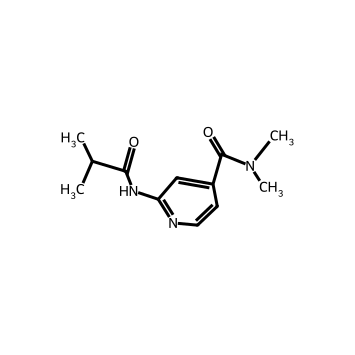 CC(C)C(=O)Nc1cc(C(=O)N(C)C)ccn1